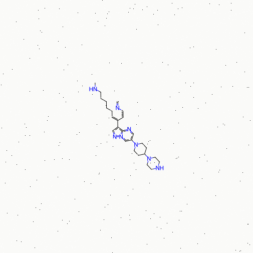 C=N/C=C\C(=C/CCCCCNC)c1cnn2cc(N3CCC(N4CCNCC4)CC3)cnc12